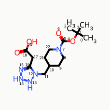 CC(C)(C)OC(=O)N1CCC(CN2NNN=C2CC(=O)O)CC1